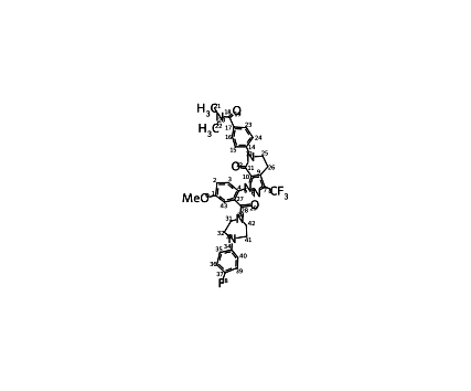 COc1ccc(-n2nc(C(F)(F)F)c3c2C(=O)N(c2ccc(C(=O)N(C)C)cc2)CC3)c(C(=O)N2CCN(c3ccc(F)cc3)CC2)c1